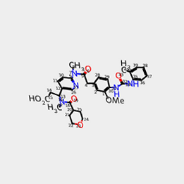 COc1cc(CC(=O)N(C)c2ccc(C(CC(=O)O)N(C)C(=O)C3CCOCC3)cn2)ccc1NC(=O)Nc1ccccc1C